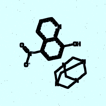 C1N2CN3CN1CN(C2)C3.O=[N+]([O-])c1ccc(O)c2ncccc12